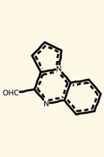 O=Cc1nc2ccccc2n2cccc12